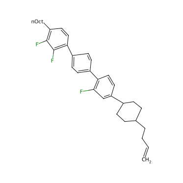 C=CCCC1CCC(c2ccc(-c3ccc(-c4ccc(CCCCCCCC)c(F)c4F)cc3)c(F)c2)CC1